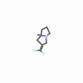 CC12CCCN1CC(=C(F)F)C2